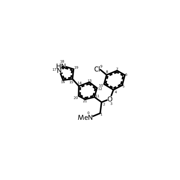 CNCC(Oc1cccc(Cl)c1)c1ccc(-c2cn[nH]c2)cc1